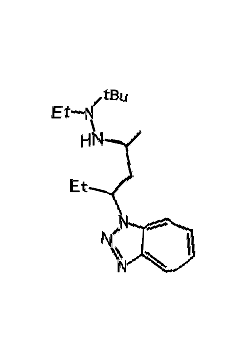 CCC(CC(C)NN(CC)C(C)(C)C)n1nnc2ccccc21